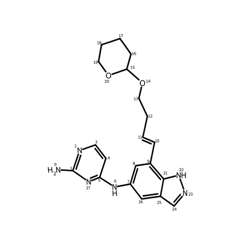 Nc1nccc(Nc2cc(C=CCCOC3CCCCO3)c3[nH]ncc3c2)n1